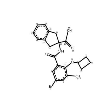 Cc1cc(Br)cc(C(=O)NC2(C(=O)O)Cc3ccccc3C2)c1OC1CCC1